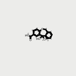 CC1(O)c2ccccc2COc2ccc(C(=O)O)cc21